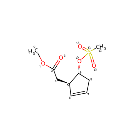 COC(=O)C[C@@H]1C=CC[C@H]1OS(C)(=O)=O